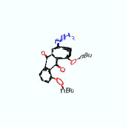 CCCCOc1cccc2c1C(=O)c1c(OCCCC)cc(N)cc1C2=O